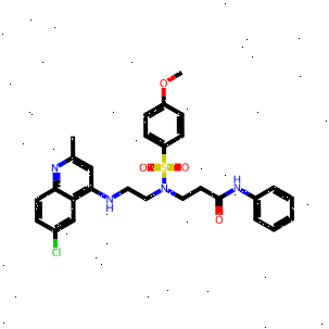 COc1ccc(S(=O)(=O)N(CCNc2cc(C)nc3ccc(Cl)cc23)CCC(=O)Nc2ccccc2)cc1